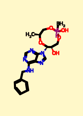 B[PH]1(O)OC[C@H](C)O[C@@H](n2cnc3c(NCc4ccccc4)ncnc32)[C@@H](O)CO1